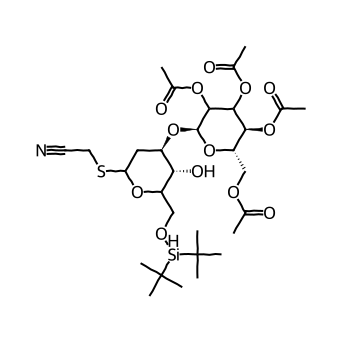 CC(=O)OC[C@@H]1O[C@@H](O[C@@H]2CC(SCC#N)OC(CO[SiH](C(C)(C)C)C(C)(C)C)[C@H]2O)C(OC(C)=O)C(OC(C)=O)[C@H]1OC(C)=O